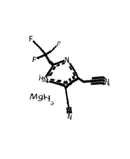 N#Cc1nc(C(F)(F)F)[nH]c1C#N.[MgH2]